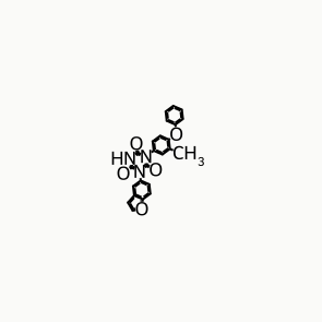 Cc1cc(-n2c(=O)[nH]c(=O)n(-c3ccc4occc4c3)c2=O)ccc1Oc1ccccc1